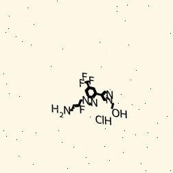 Cl.NCC=C(F)Cn1cnc2c(-c3cnn(CCO)c3)cc(C(F)(F)F)cc21